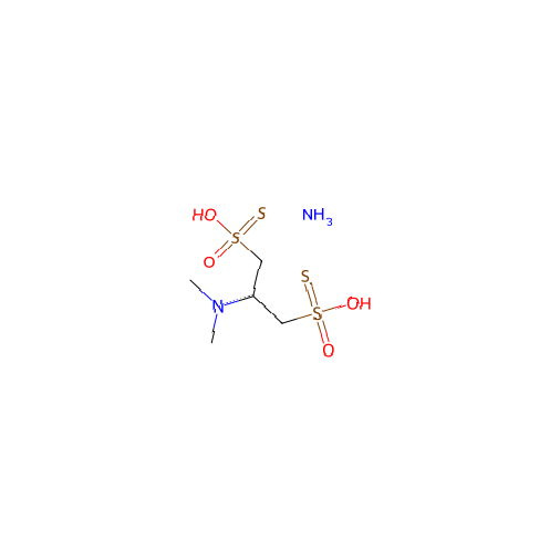 CN(C)C(CS(=O)(O)=S)CS(=O)(O)=S.N